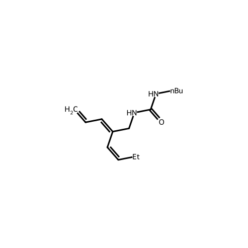 C=C/C=C(\C=C/CC)CNC(=O)NCCCC